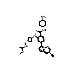 COC(=O)NC[C@H]1C[C@H](Nc2cc(-c3ccc4cc(C#N)cnn34)ncc2C(=O)N[C@H]2CC[C@H](N)CC2)C1